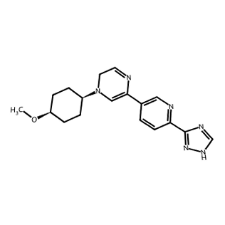 CO[C@H]1CC[C@@H](N2C=C(c3ccc(-c4nc[nH]n4)nc3)N=CC2)CC1